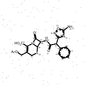 CC(=O)OCC1=C(C(=O)O)N2C(=O)[C@@H](NC(=O)C(c3ccccc3)c3noc(N)n3)C2SC1